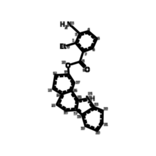 CCc1c(N)cccc1C(=O)Oc1ccc2ccc3c4ccccc4[nH]c3c2c1